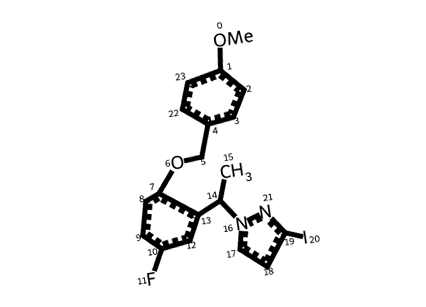 COc1ccc(COc2ccc(F)cc2C(C)n2ccc(I)n2)cc1